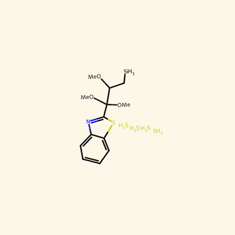 COC(C[SiH3])C(OC)(OC)c1nc2ccccc2s1.S.S.S.S